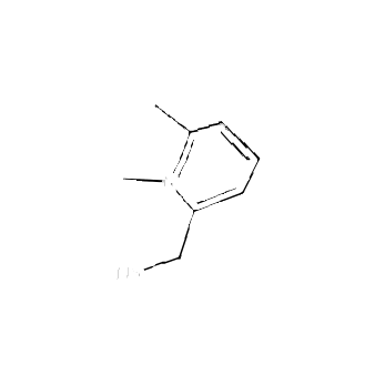 Cc1cccc(CS)[n+]1C